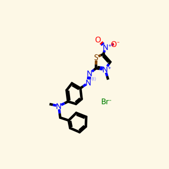 CN(Cc1ccccc1)c1ccc(/N=N/c2sc([N+](=O)[O-])c[n+]2C)cc1.[Br-]